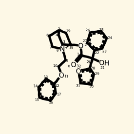 O=C(OC1CC2CC[N+]1(CCOc1ccccc1)CC2)C(O)(c1ccccc1)c1ccco1